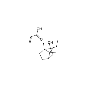 C=CC(=O)O.CCC1(O)CC2CCC1(C)C2(C)C